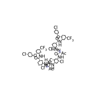 CC(=O)/C(=N/Nc1cc(C(=O)Nc2cc(C(F)(F)F)ccc2Oc2ccc(Cl)cc2)ccc1Cl)C(=O)Nc1cc(Cl)c(NC(=O)/C(=N\Nc2cc(C(=O)Nc3cc(C(F)(F)F)ccc3Oc3ccc(Cl)cc3)ccc2Cl)C(C)=O)cc1C